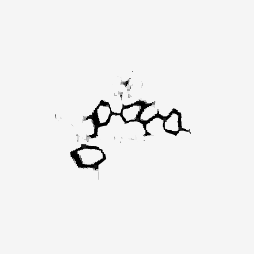 CCS(=O)(=O)Nc1cc2oc(-c3ccc(F)cc3)c(C(=O)NC)c2cc1-c1ccc(OC)c(-c2nc3ccc(I)cc3o2)c1